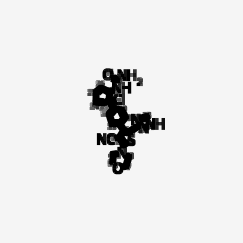 N#Cc1c(N2CCOCC2)sc(-c2nc[nH]n2)c1-c1ccc(C2(Cl)C=CC=CC2NC(N)=O)cc1